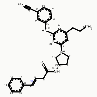 CCCc1cc(N2CC[C@H](NC(=O)C/C=C/c3ccccc3)C2)nc(Nc2cccc(C#N)c2)n1